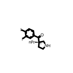 CCC[C@]1(C(=O)c2ccc(I)c(I)c2)CCNC1